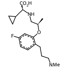 CNCCCc1ccc(F)cc1O[C@H](C)CN[C@H](C(=O)O)C1CC1